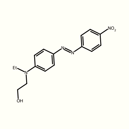 CCN(CCO)c1ccc(N=Nc2ccc([N+](=O)[O-])cc2)cc1